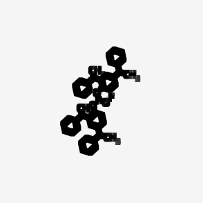 CC(c1ccccc1)c1ccc(OP(OF)Oc2ccc(C(C)c3ccccc3)cc2C(C)c2ccccc2)c(C(C)c2ccccc2)c1